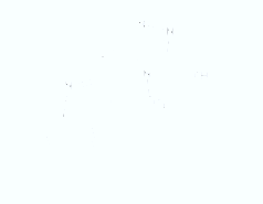 Cc1nnc(Sc2nc3ccccc3s2)n1C